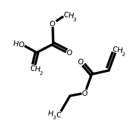 C=C(O)C(=O)OC.C=CC(=O)OCC